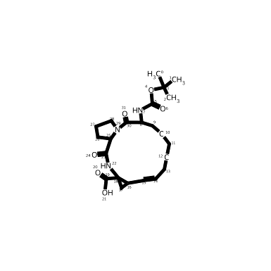 CC(C)(C)OC(=O)NC1CCCCCC=CC2CC2(C(=O)O)NC(=O)C2CCCN2C1=O